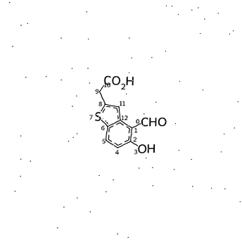 O=Cc1c(O)ccc2sc(CC(=O)O)cc12